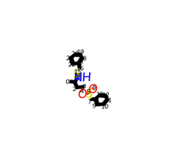 CC(CCOS(=O)Cc1ccccc1)NSCc1ccccc1